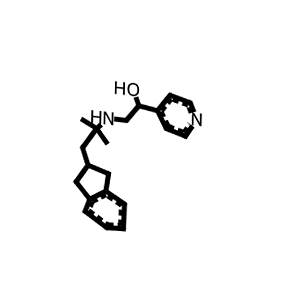 CC(C)(CC1Cc2ccccc2C1)NCC(O)c1ccncc1